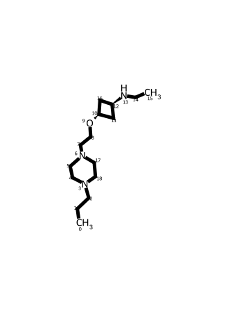 CCCN1CCN(CCO[C@H]2C[C@H](NCC)C2)CC1